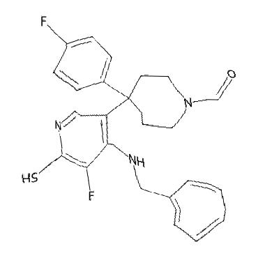 O=CN1CCC(c2ccc(F)cc2)(c2cnc(S)c(F)c2NCc2ccccc2)CC1